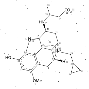 COc1cc(O)c2c3c1C[C@@H]1[C@@H]4CC[C@H](NC(C)CC(=O)O)[C@H](O2)[C@]34CCN1CC1CC1